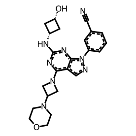 N#Cc1cccc(-n2ncc3c(N4CC(N5CCOCC5)C4)nc(N[C@H]4C[C@@H](O)C4)nc32)c1